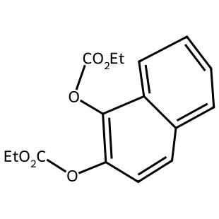 CCOC(=O)Oc1ccc2ccccc2c1OC(=O)OCC